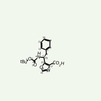 CC(C)(C)OC(=O)N[C@@H](Cc1ccccc1)c1ocnc1C(=O)O